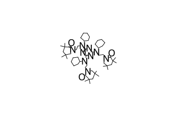 CC1(C)CN(CCN(c2nc(N(CCN3CC(C)(C)CC(C)(C)C3=O)C3CCCCC3)nc(N(CCN3CC(C)(C)CC(C)(C)C3=O)C3CCCCC3)n2)C2CCCCC2)C(=O)C(C)(C)C1